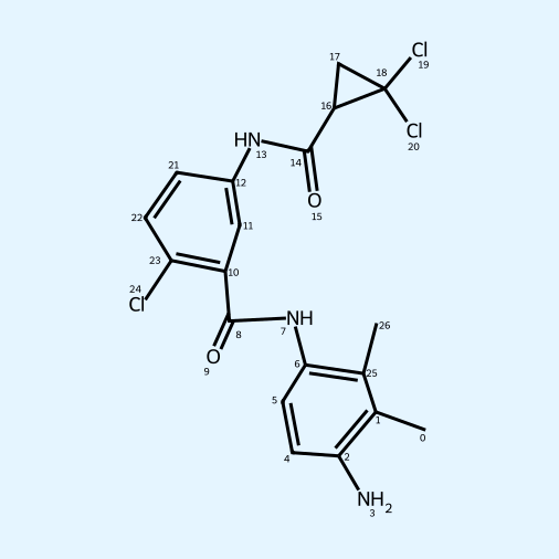 Cc1c(N)ccc(NC(=O)c2cc(NC(=O)C3CC3(Cl)Cl)ccc2Cl)c1C